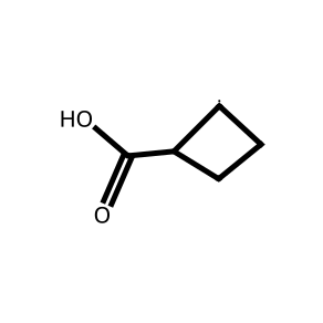 O=C(O)C1[CH]CC1